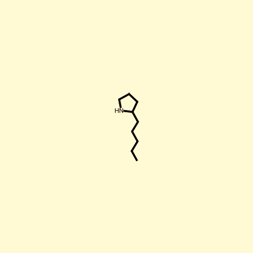 CCCCCC1C[CH]CN1